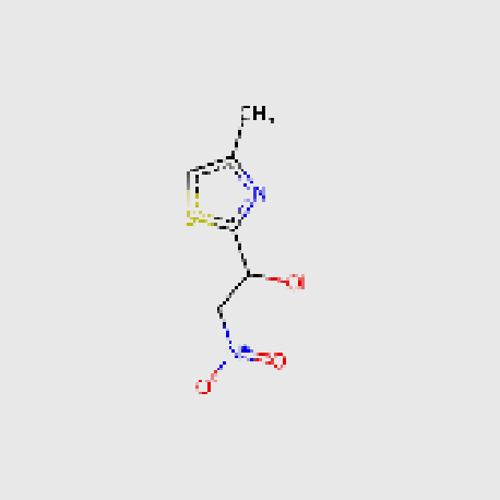 Cc1csc(C(O)C[N+](=O)[O-])n1